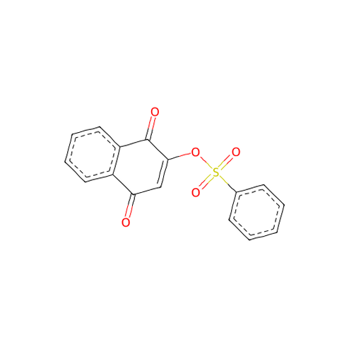 O=C1C=C(OS(=O)(=O)c2ccccc2)C(=O)c2ccccc21